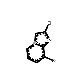 Clc1cn2cccc(Br)c2n1